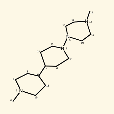 CN1CCC(C2CCN(N3CCN(C)CC3)CC2)CC1